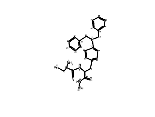 CC(C)CC(N)C(=O)NC(Cc1ccc(N(Cc2ccccc2)Cc2ccccc2)cc1)C(=O)NC(C)(C)C